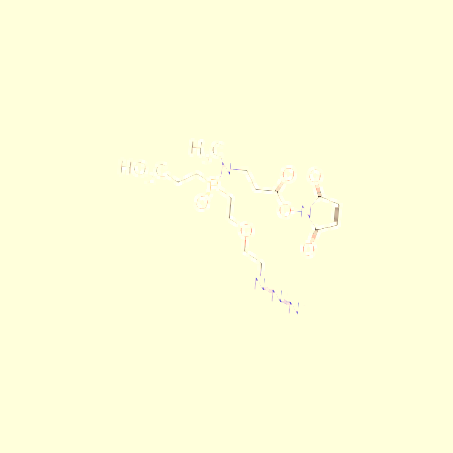 CN(CCC(=O)ON1C(=O)C=CC1=O)P(=O)(CCOCCN=[N+]=[N-])CCC(=O)O